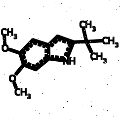 COc1cc2cc(C(C)(C)C)[nH]c2cc1OC